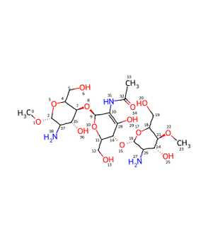 CO[C@@H]1OC(CO)[C@@H](O[C@@H]2OC(CO)[C@@H](O[C@@H]3OC(CO)[C@@H](OC)[C@H](O)C3N)C(O)=C2NC(C)=O)[C@H](O)C1N